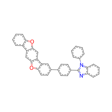 c1ccc(-n2c(-c3ccc(-c4ccc5oc6cc7c(cc6c5c4)oc4ccccc47)cc3)nc3ccccc32)cc1